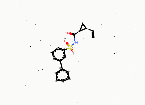 C=C[C@@H]1C[C@@H]1C(=O)NS(=O)(=O)c1cccc(-c2ccccc2)c1